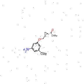 COC(=O)[C@H]1C[C@@H]1COc1cc(N)cc(OC)c1